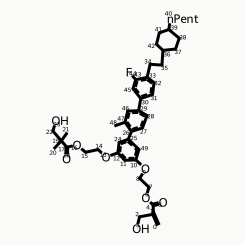 C=C(CO)C(=O)OCCOc1cc(OCCOC(=O)C(C)(C)CO)cc(-c2ccc(-c3ccc(CCC4CCC(CCCCC)CC4)c(F)c3)cc2C)c1